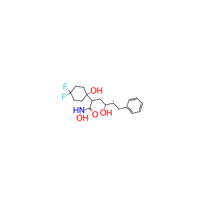 O=C(NO)C(CC(O)[CH]Cc1ccccc1)C1(O)CCC(F)(F)CC1